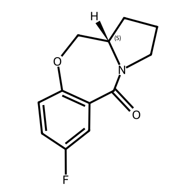 O=C1c2cc(F)ccc2OC[C@@H]2CCCN12